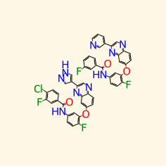 O=C(Nc1ccc(F)c(Oc2ccc3ncc(-c4cccnc4)nc3c2)c1)c1cccc(F)c1.O=C(Nc1ccc(F)c(Oc2ccc3ncc(-c4cn[nH]c4)nc3c2)c1)c1ccc(Cl)c(F)c1